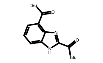 CC(C)(C)C(=O)c1nc2c(C(=O)C(C)(C)C)cccc2[nH]1